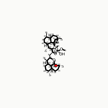 CO[PH](O)(OC)O[C@@H](C[C@H]1O[C@@H]2C[C@]3(C)CC[C@H]4[C@H](C)CC[C@@H]([C@H]1C)[C@@]24OO3)C1O[C@@H]2C[C@]3(C)CC[C@H]4[C@H](C)CC[C@@H]([C@H]1C)[C@@]24OO3